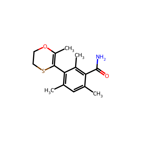 CC1=C(c2c(C)cc(C)c(C(N)=O)c2C)SCCO1